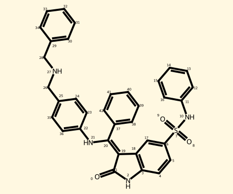 O=C1Nc2ccc(S(=O)(=O)Nc3ccccc3)cc2/C1=C(/Nc1ccc(CNCc2ccccc2)cc1)c1ccccc1